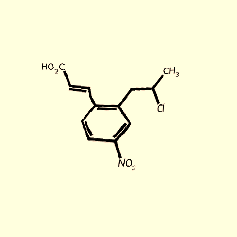 CC(Cl)Cc1cc([N+](=O)[O-])ccc1/C=C/C(=O)O